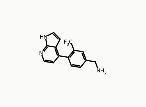 NCc1ccc(-c2ccnc3[nH]ccc23)c(C(F)(F)F)c1